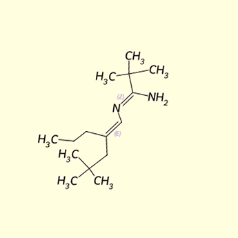 CCC/C(=C\N=C(/N)C(C)(C)C)CC(C)(C)C